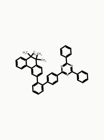 CC1(C)c2ccccc2-c2cc(-c3ccccc3-c3ccc(-c4nc(-c5ccccc5)nc(-c5ccccc5)n4)cc3)ccc2C1(C)C